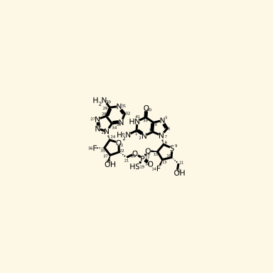 Nc1nc2c(ncn2[C@@H]2S[C@H](CO)[C@@H](F)[C@H]2OP(=O)(S)OC[C@H]2O[C@@H](n3nnc4c(N)ncnc43)[C@@H](F)[C@@H]2O)c(=O)[nH]1